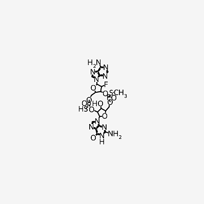 CSP1(=O)OCC2OC(n3cnc4c(=O)[nH]c(N)nc43)C(OP(=O)(S)OCC3OC(n4cnc5c(N)ncnc54)C(F)C3O1)C2O